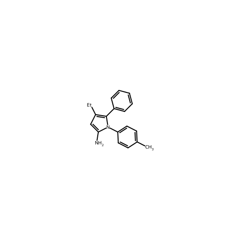 CCc1cc(N)n(-c2ccc(C)cc2)c1-c1ccccc1